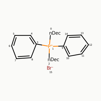 CCCCCCCCCC[P+](CCCCCCCCCC)(c1ccccc1)c1ccccc1.[Br-]